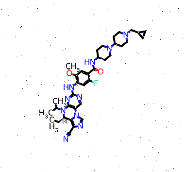 CC[C@@H]1c2c(C#N)ncn2-c2cnc(Nc3cc(F)c(C(=O)NC4CCN(C5CCN(CC6CC6)CC5)CC4)cc3OC)nc2N1C(C)C